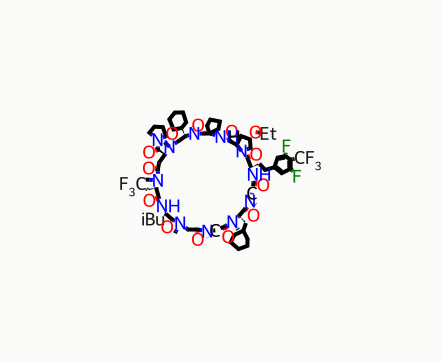 CCO[C@@H]1C[C@H]2C(=O)NC3(CCCC3)C(=O)N(C)[C@@H](C3CCCCC3)C(=O)N(C)[C@H](C(=O)N3CCCC3)CC(=O)N(C)[C@@H](CC(F)(F)F)C(=O)N[C@@H]([C@@H](C)CC)C(=O)N(C)CC(=O)N(C)CC(=O)N(C)[C@@H](CC3CCCCC3)C(=O)N(C)CC(=O)N[C@@H](CCc3cc(F)c(C(F)(F)F)c(F)c3)C(=O)N2C1